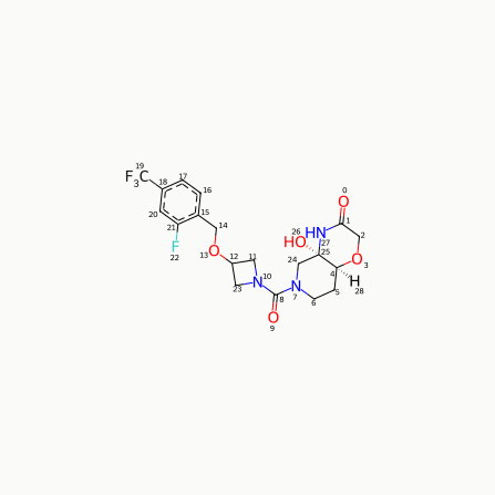 O=C1CO[C@H]2CCN(C(=O)N3CC(OCc4ccc(C(F)(F)F)cc4F)C3)C[C@@]2(O)N1